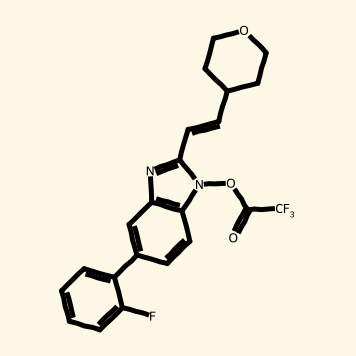 O=C(On1c(/C=C/C2CCOCC2)nc2cc(-c3ccccc3F)ccc21)C(F)(F)F